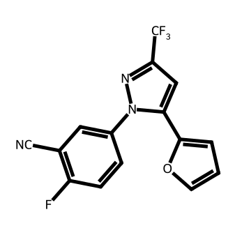 N#Cc1cc(-n2nc(C(F)(F)F)cc2-c2ccco2)ccc1F